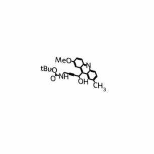 COc1ccc2nc3ccc(C)cc3c(C(O)C#CCNC(=O)OC(C)(C)C)c2c1